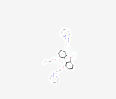 CCCCOc1ccc(OCCN2CCCCC2)c2c1-c1c(OCCN3CCCCC3)cccc1C2=O